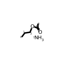 CCCOC(C)=O.N